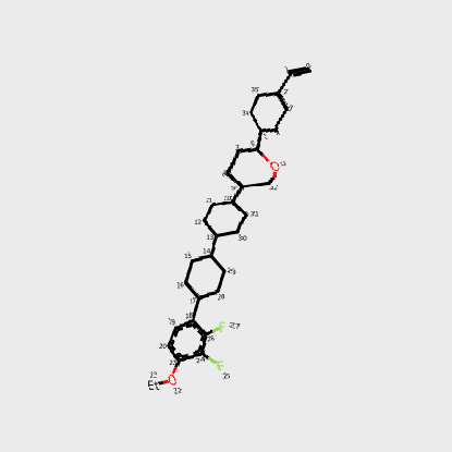 C=CC1CCC(C2CCC(C3CCC(C4CCC(c5ccc(OCC)c(F)c5F)CC4)CC3)CO2)CC1